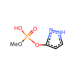 COP(=O)(O)Oc1cc[nH]n1